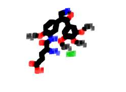 COc1ccc(-c2cnoc2-c2cc(OC)c(OC)c(OC)c2)cc1NC(=O)C(N)CCC(=O)O.Cl